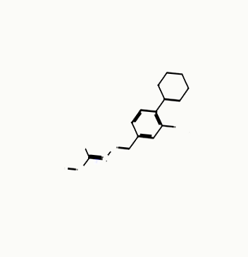 CCO/C(C)=N/OCc1ccc(C2CCCCC2)c(C)c1